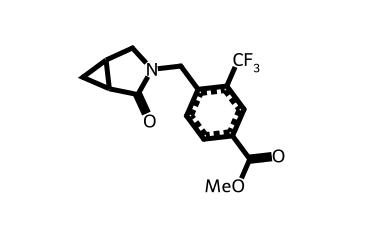 COC(=O)c1ccc(CN2CC3CC3C2=O)c(C(F)(F)F)c1